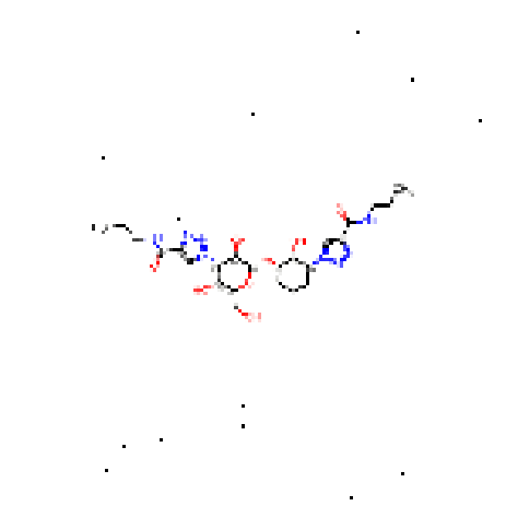 CCCNC(=O)c1cn([C@H]2[C@@H](O)[C@@H](CO)O[C@@H](O[C@@H]3CCC[C@H](n4cc(C(=O)NCCC)nn4)[C@H]3O)[C@@H]2O)nn1